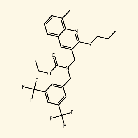 CCCSc1nc2c(C)cccc2cc1CN(Cc1cc(C(F)(F)F)cc(C(F)(F)F)c1)C(=O)OCC